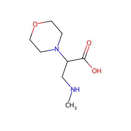 CNCC(C(=O)O)N1CCOCC1